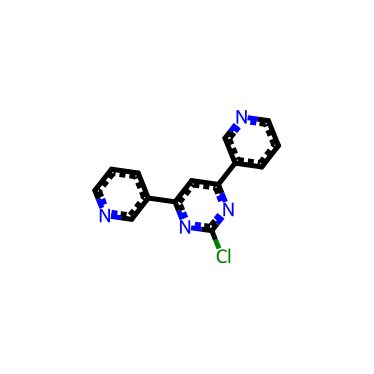 Clc1nc(-c2cccnc2)cc(-c2cccnc2)n1